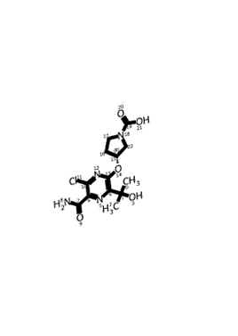 CC(C)(O)c1nc(C(N)=O)c(Cl)nc1O[C@@H]1CCN(C(=O)O)C1